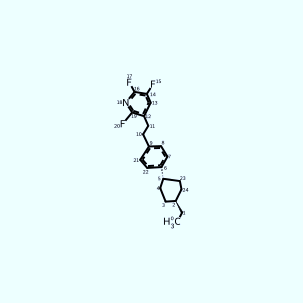 CC[C@H]1CC[C@H](c2ccc(CCc3cc(F)c(F)nc3F)cc2)CC1